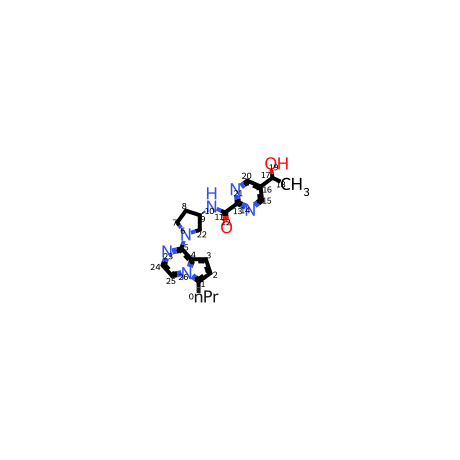 CCCc1ccc2c(N3CC[C@H](NC(=O)c4ncc(C(C)O)cn4)C3)nccn12